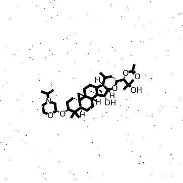 CC(=O)O[C@@H]([C@H]1CC(C)[C@H]2[C@H](O1)[C@H](O)[C@@]1(C)[C@@H]3CC[C@H]4C(C)(C)[C@@H](O[C@H]5CN(C(C)C)CCO5)CC[C@@]45C[C@@]35CC[C@]21C)C(C)(C)O